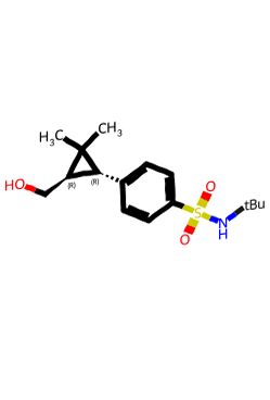 CC(C)(C)NS(=O)(=O)c1ccc([C@@H]2[C@@H](CO)C2(C)C)cc1